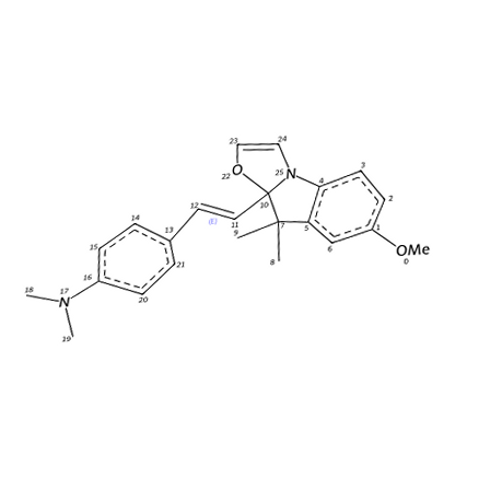 COc1ccc2c(c1)C(C)(C)C1(/C=C/c3ccc(N(C)C)cc3)OC=CN21